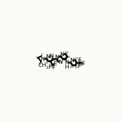 CC1CCN1c1cc(C(F)(F)F)c(-c2cnc3c(Nc4ccc(C(F)(F)F)cn4)ccnc3n2)nn1